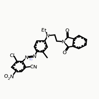 CCN(CCN1C(=O)c2ccccc2C1=O)c1ccc(/N=N/c2c(Cl)cc([N+](=O)[O-])cc2C#N)c(C)c1